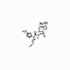 C#CCON=C(C(=O)NC1C(=O)N2CC(OC)(C(=O)O)CS[C@H]12)c1csc(N)n1